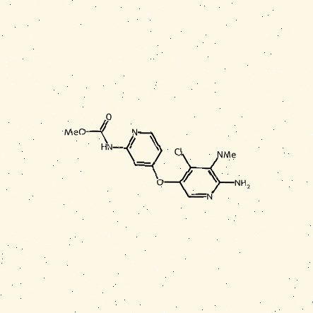 CNc1c(N)ncc(Oc2ccnc(NC(=O)OC)c2)c1Cl